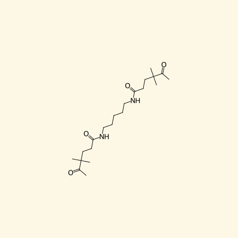 CC(=O)C(C)(C)CCC(=O)NCCCCCNC(=O)CCC(C)(C)C(C)=O